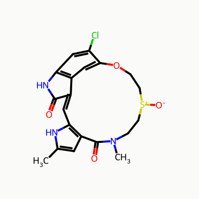 Cc1cc2c([nH]1)/C=C1\C(=O)Nc3cc(Cl)c(cc31)OCC[S+]([O-])CCN(C)C2=O